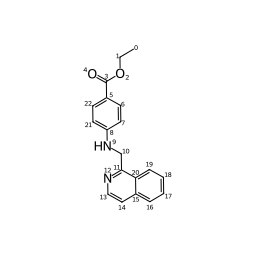 CCOC(=O)c1ccc(NCc2nccc3ccccc23)cc1